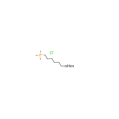 CCCCCCCCCCCC[P+](C)(C)C.[Cl-]